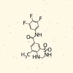 Cc1cc(C(=O)Nc2cc(F)c(F)c(F)c2)cc2c1NCNS2(=O)=O